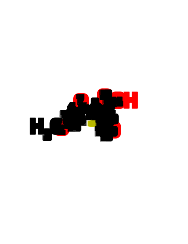 COc1ccc(C(=O)c2cc(CC(=O)O)c(-c3ccoc3)s2)cc1